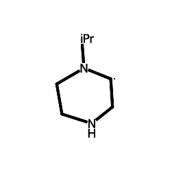 CC(C)N1[CH]CNCC1